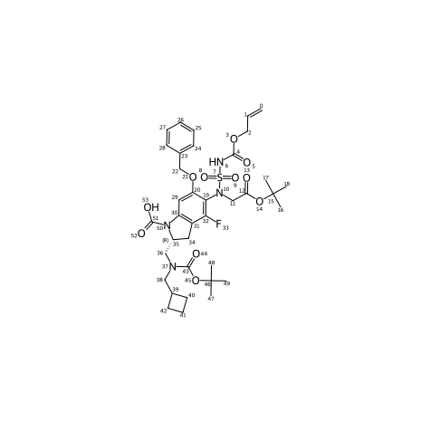 C=CCOC(=O)NS(=O)(=O)N(CC(=O)OC(C)(C)C)c1c(OCc2ccccc2)cc2c(c1F)C[C@H](CN(CC1CCC1)C(=O)OC(C)(C)C)N2C(=O)O